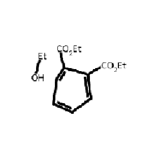 CCO.CCOC(=O)c1ccccc1C(=O)OCC